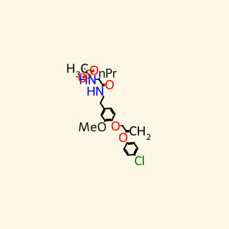 C=C(COc1ccc(CCNC(=O)[C@H](CCC)NS(C)(=O)=O)cc1OC)Oc1ccc(Cl)cc1